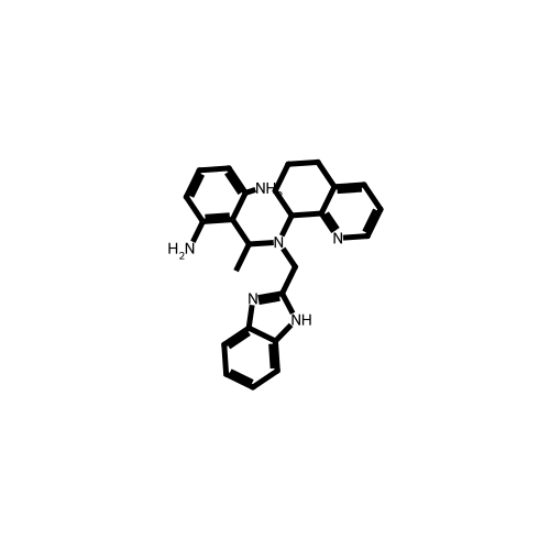 CC(c1c(N)cccc1N)N(Cc1nc2ccccc2[nH]1)C1CCCc2cccnc21